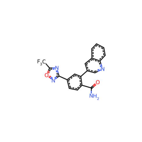 NC(=O)c1ccc(-c2noc(C(F)(F)F)n2)cc1-c1cnc2ccccc2c1